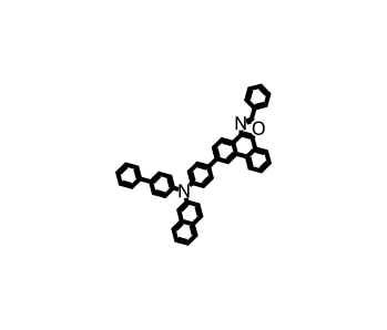 c1ccc(-c2ccc(N(c3ccc(-c4ccc5c(c4)c4ccccc4c4oc(-c6ccccc6)nc54)cc3)c3ccc4ccccc4c3)cc2)cc1